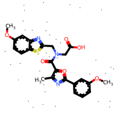 COc1cccc(-c2nc(C)c(C(=O)N(CC(=O)O)Cc3nc4cc(OC)ccc4s3)o2)c1